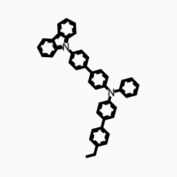 CCc1ccc(-c2ccc(N(c3ccccc3)c3ccc(-c4ccc(-n5c6ccccc6c6ccccc65)cc4)cc3)cc2)cc1